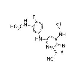 N#Cc1cnc2c(NC3CC3)cc(Nc3ccc(F)c(NC(=O)O)c3)nn12